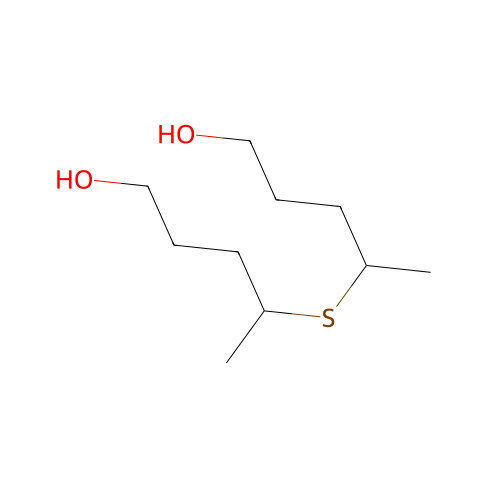 CC(CCCO)SC(C)CCCO